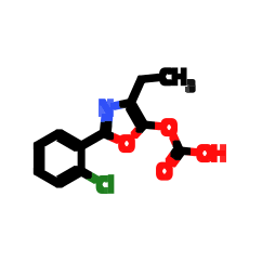 CCc1nc(-c2ccccc2Cl)oc1OC(=O)O